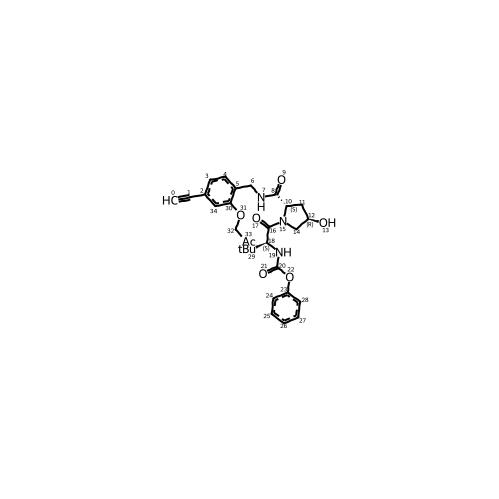 C#Cc1ccc(CNC(=O)[C@@H]2C[C@@H](O)CN2C(=O)[C@@H](NC(=O)Oc2ccccc2)C(C)(C)C)c(OCC(C)=O)c1